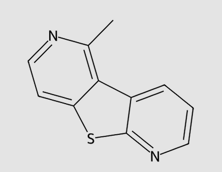 Cc1nccc2sc3ncccc3c12